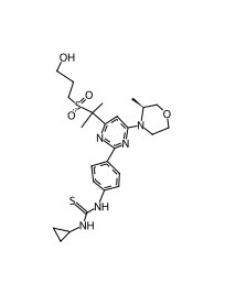 C[C@H]1COCCN1c1cc(C(C)(C)S(=O)(=O)CCCO)nc(-c2ccc(NC(=S)NC3CC3)cc2)n1